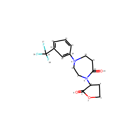 O=C1OCCC1N1CCN(c2cccc(C(F)(F)F)c2)CCC1=O